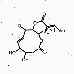 CCCCCC1OC(=O)CC(O)C(O)/C=C/C(O)C1OC(=O)/C(C)=C/C(C)CC